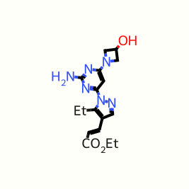 CCOC(=O)C=Cc1cnn(-c2cc(N3CC(O)C3)nc(N)n2)c1CC